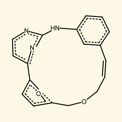 C1=C\c2cccc(c2)Nc2nccc(n2)-c2ccc(o2)COC/1